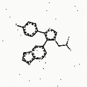 Fc1ccc(-c2ncn(CC(F)F)c2-c2ccc3nccn3c2)cc1